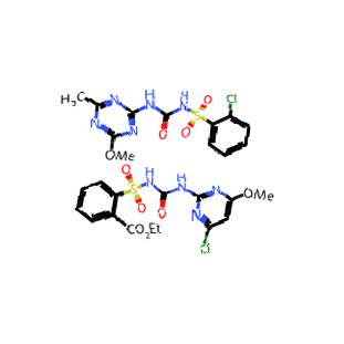 CCOC(=O)c1ccccc1S(=O)(=O)NC(=O)Nc1nc(Cl)cc(OC)n1.COc1nc(C)nc(NC(=O)NS(=O)(=O)c2ccccc2Cl)n1